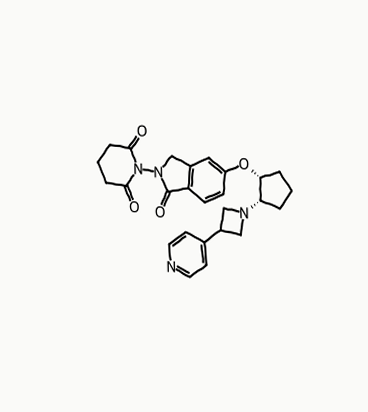 O=C1c2ccc(O[C@@H]3CCC[C@@H]3N3CC(c4ccncc4)C3)cc2CN1N1C(=O)CCCC1=O